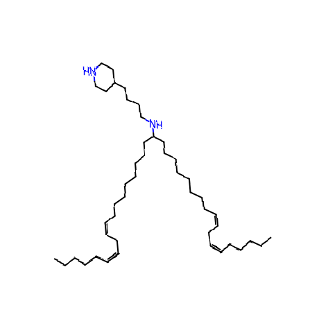 CCCCC/C=C\C/C=C\CCCCCCCCC(CCCCCCCC/C=C\C/C=C\CCCCC)NCCCCC1CCNCC1